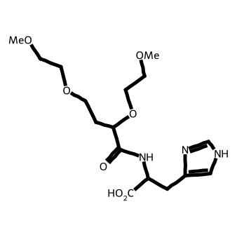 COCCOCCC(OCCOC)C(=O)NC(Cc1c[nH]cn1)C(=O)O